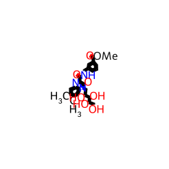 COC(=O)c1cccc(CNC(=O)c2nc3cc(C)c(C)cc3n(CC(O)C(O)C(O)CO)c2=O)c1